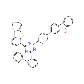 c1ccc(-c2ccccc2-c2nc(-c3ccc(-c4ccc5c(c4)oc4ccccc45)cc3)nc(-c3cccc4c3sc3ccccc34)n2)cc1